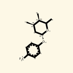 CC1O[C@H](Oc2ccc(C(F)(F)F)cc2)C[C@@H](C)[C@H]1C